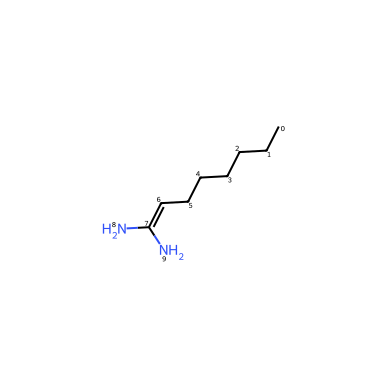 CCCCCCC=C(N)N